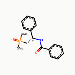 COP(=O)(C[C@@H](NC(=O)c1ccccc1)c1ccccc1)OC